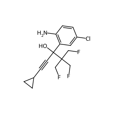 Nc1ccc(Cl)cc1C(O)(C#CC1CC1)C(CF)(CF)CF